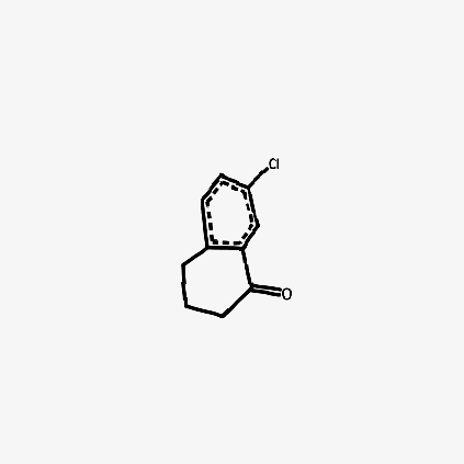 O=C1CCCc2ccc(Cl)cc21